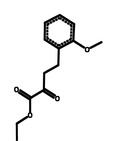 CCOC(=O)C(=O)CCc1ccccc1OC